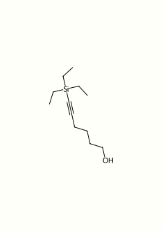 CC[Si](C#CCCCCO)(CC)CC